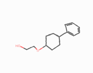 OCCOC1CCC(c2ccccc2)CC1